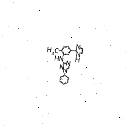 Cc1ccc(-c2ncc[nH]2)cc1Nc1ncn(-c2ccccc2)n1